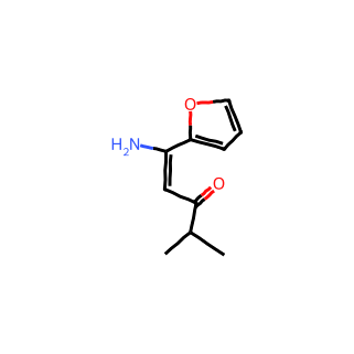 CC(C)C(=O)/C=C(/N)c1ccco1